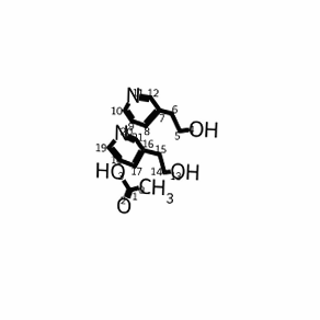 CC(=O)O.OCCc1cccnc1.OCCc1cccnc1